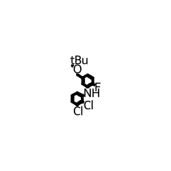 CC(C)(C)COCc1ccc(F)c(Nc2cccc(Cl)c2Cl)c1